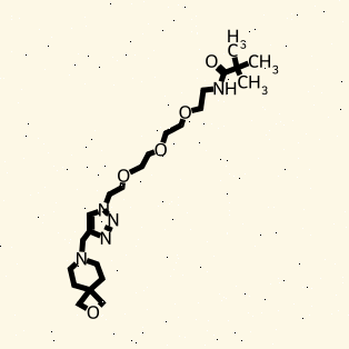 CC(C)(C)C(=O)NCCOCCOCCOCCn1cc(CN2CCC3(CC2)COC3)nn1